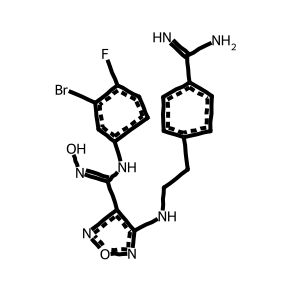 N=C(N)c1ccc(CCNc2nonc2/C(=N/O)Nc2ccc(F)c(Br)c2)cc1